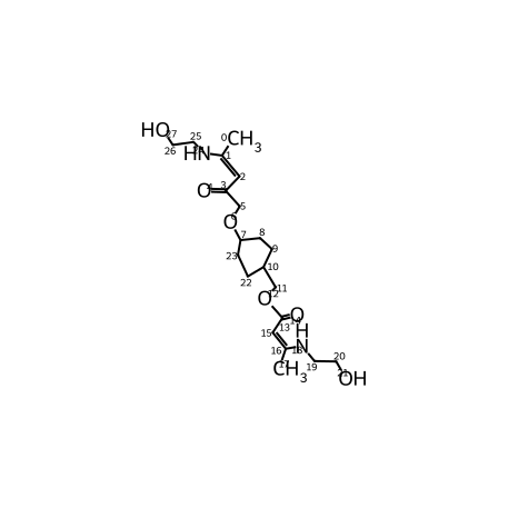 C/C(=C/C(=O)COC1CCC(COC(=O)/C=C(/C)NCCO)CC1)NCCO